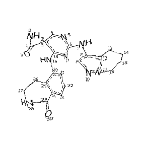 NC(=O)c1cnc(Nc2cnn3c2CCCC3)nc1Nc1cccc2c1CCNC2=O